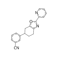 N#Cc1cccc(C2CCc3nc(-c4ccccn4)oc3C2)c1